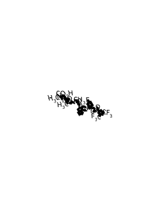 CN(CCCN(C)C(=O)c1ccc(N(C)C(=O)O)cn1)C(=O)CO[C@H]1Cc2ccccc2C12CCN(CC[C@@]1(c3ccc(F)cc3)CN(C(=O)c3cc(C(F)(F)F)cc(C(F)(F)F)c3)CO1)CC2